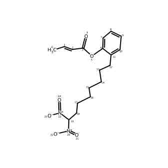 CC=CC(=O)Oc1ccccc1CCCCCCCC([N+](=O)[O-])[N+](=O)[O-]